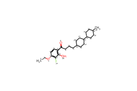 CCOc1ccc(C(=O)CCCC2CCC(C3CCC(C)CC3)CC2)c(O)c1F